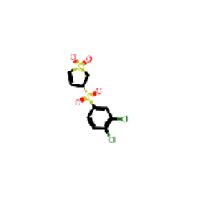 O=S1(=O)C=C[C@@H](S(=O)(=O)c2ccc(Cl)c(Cl)c2)C1